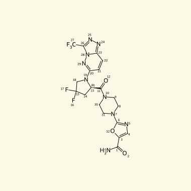 NC(=O)c1cnc(N2CCN(C(=O)[C@H]3CC(F)(F)CN3c3ccc4nnc(C(F)(F)F)n4n3)CC2)o1